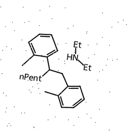 CCCCCC(Cc1ccccc1C)c1ccccc1C.CCNCC